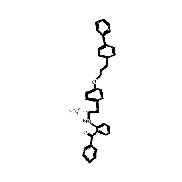 O=C(c1ccccc1)c1ccccc1N[C@@H](Cc1ccc(OCC=Cc2ccc(-c3ccccc3)cc2)cc1)C(=O)O